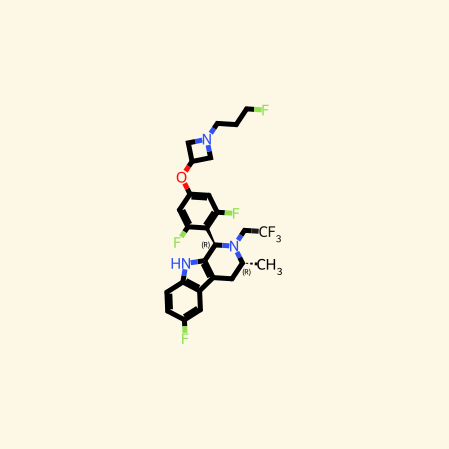 C[C@@H]1Cc2c([nH]c3ccc(F)cc23)[C@@H](c2c(F)cc(OC3CN(CCCF)C3)cc2F)N1CC(F)(F)F